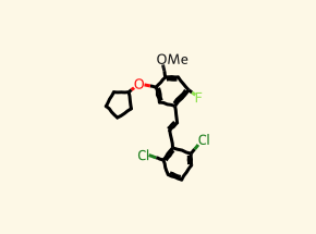 COc1cc(F)c(C=Cc2c(Cl)cccc2Cl)cc1OC1CCCC1